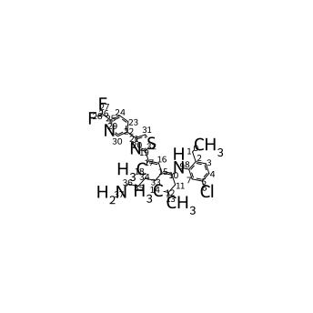 CCc1ccc(Cl)cc1N/C(CC(C)C)=C(\C=C(/C)c1nc(-c2ccc(C(F)F)nc2)cs1)CCCCN